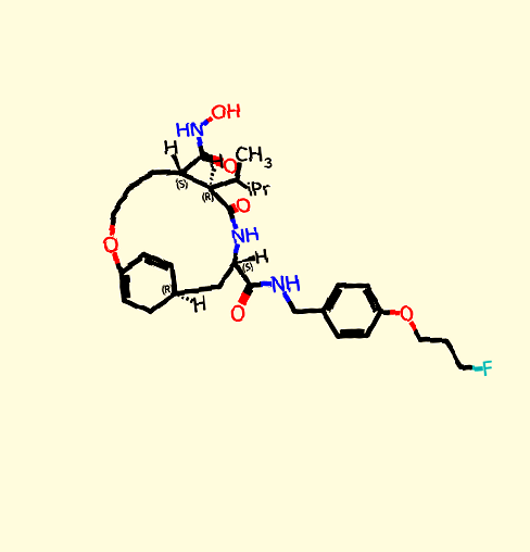 CC(C)C(C)[C@H]1C(=O)N[C@H](C(=O)NCc2ccc(OCCCF)cc2)C[C@@H]2C=CC(=CC2)OCCC[C@@H]1C(=O)NO